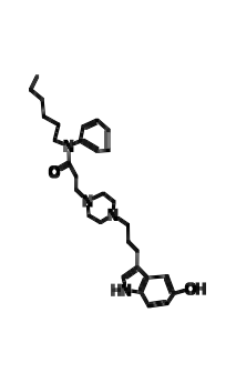 CCCCCCN(C(=O)CCN1CCN(CCCc2c[nH]c3ccc(O)cc23)CC1)c1ccccc1